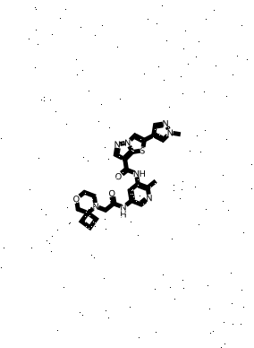 Cc1ncc(NC(=O)CN2CCOCC23CCC3)cc1NC(=O)c1cnn2cc(-c3cnn(C)c3)sc12